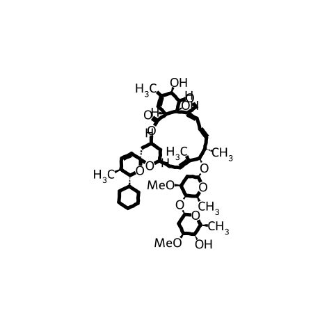 CO[C@H]1C[C@H](O[C@H]2[C@H](C)O[C@@H](O[C@@H]3/C(C)=C/C[C@@H]4C[C@@H](C[C@]5(C=C[C@H](C)[C@@H](C6CCCCC6)O5)O4)OC(=O)[C@@H]4C=C(C)[C@@H](O)[C@H]5OC/C(=C/C=C/[C@@H]3C)[C@]54O)C[C@@H]2OC)O[C@@H](C)[C@@H]1O